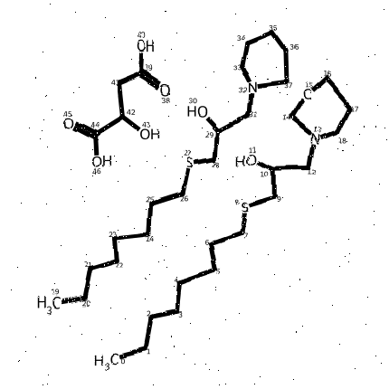 CCCCCCCCSCC(O)CN1CCCCC1.CCCCCCCCSCC(O)CN1CCCCC1.O=C(O)CC(O)C(=O)O